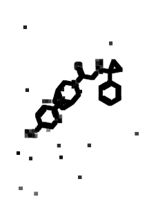 C[C@H]1CC2CN(C(=O)CNC3(c4ccccc4)CC3)CC1N2c1ccc(C#N)cn1